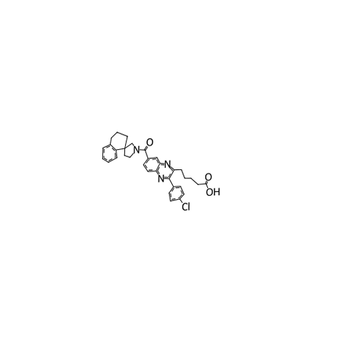 O=C(O)CCCCc1nc2cc(C(=O)N3CCC4(CCCc5ccccc54)C3)ccc2nc1-c1ccc(Cl)cc1